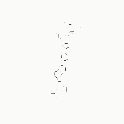 COC(=O)N[C@H](C(=O)N1CC(C)C[C@H]1c1ncc(-c2ccc3c(c2)COc2cc4c(ccc5nc([C@@H]6CC[C@H](C)N6C(=O)[C@@H](NC(=O)O)[C@@H](C)OC)[nH]c54)cc2-3)[nH]1)[C@@H](C)OC